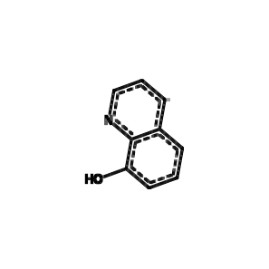 Oc1cccc2[c]ccnc12